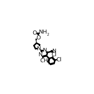 Cc1nc(N2CC[C@@H](COC(N)=O)C2)nc(C#N)c1-c1cccc(Cl)c1Cl